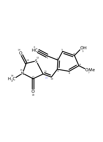 C#Cc1cc(O)c(OC)cc1/C=C1\SC(=O)N(C)C1=O